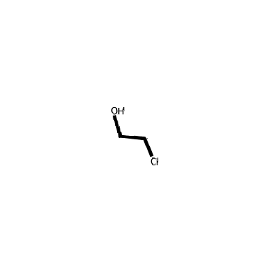 OC[CH]Cl